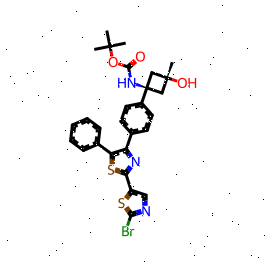 CC(C)(C)OC(=O)N[C@]1(c2ccc(-c3nc(-c4cnc(Br)s4)sc3-c3ccccc3)cc2)C[C@@](C)(O)C1